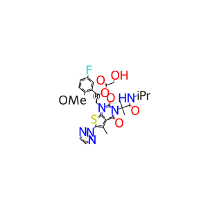 COc1ccc(F)cc1[C@H](Cn1c(=O)n(C(C)(C)C(=O)NC(C)C)c(=O)c2c(C)c(-n3nccn3)sc21)OC(=O)CO